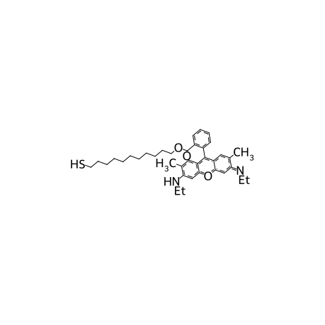 CC/N=c1\cc2oc3cc(NCC)c(C)cc3c(-c3ccccc3C(=O)OCCCCCCCCCCCS)c-2cc1C